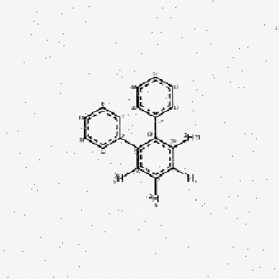 [2H]c1c([2H])c([2H])c(-c2ccccc2)c(-c2ccccc2)c1[2H]